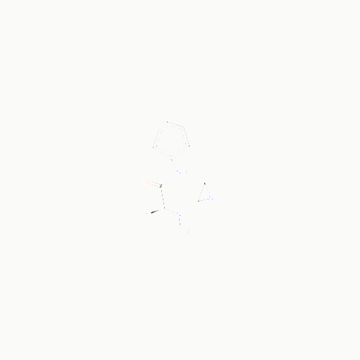 CC(C)[C@@H](C(=O)Nc1ccccc1)N(C)[C@@H]1CN1